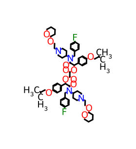 CC(C)COc1ccc(C(OC(=O)C(=O)OC(C(=O)N(Cc2ccc(F)cc2)C2CCN(CCOC3CCCCO3)CC2)c2ccc(OCC(C)C)cc2)C(=O)N(Cc2ccc(F)cc2)C2CCN(CCOC3CCCCO3)CC2)cc1